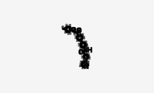 Cc1ccc(OCC(=O)N2CCC(c3ccc(NC(=O)[C@H]4CCN(c5cccnn5)C4)cc3)CC2)cc1